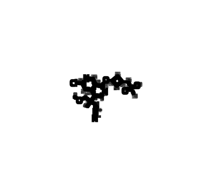 COCC(C)(N=[N+]=[N-])c1cnc(O[C@H]2C[C@H](CS(C)(=O)=O)C2)c2cnc(Cl)cc12